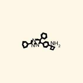 NC1(c2ccc(-c3nc4nc(-c5ccccc5)cn4cc3-c3ccccc3)cc2)CCC1